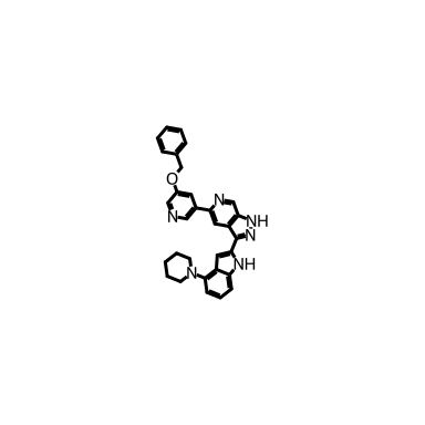 c1ccc(COc2cncc(-c3cc4c(-c5cc6c(N7CCCCC7)cccc6[nH]5)n[nH]c4cn3)c2)cc1